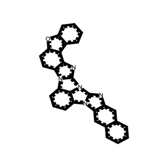 c1ccc2cc3c(cc2c1)nc1n3c2cccc3c2n1c1nc2c4c(ccc2n31)oc1ccccc14